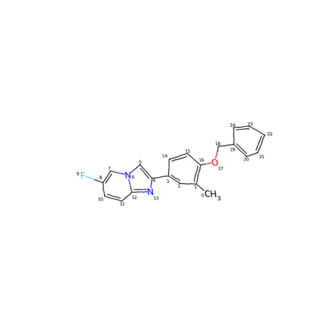 Cc1cc(-c2cn3cc(F)ccc3n2)ccc1OCc1ccccc1